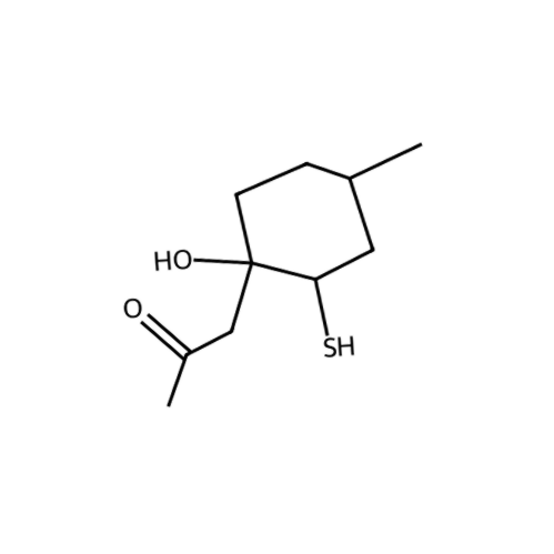 CC(=O)CC1(O)CCC(C)CC1S